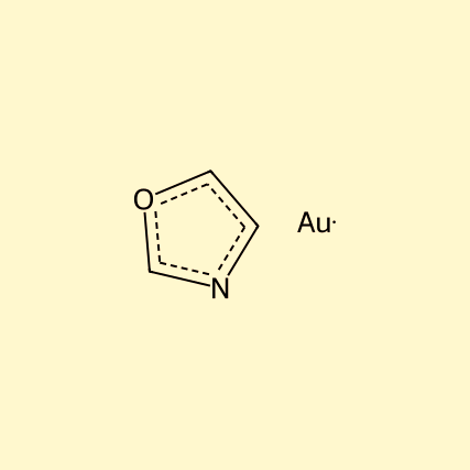 [Au].c1cocn1